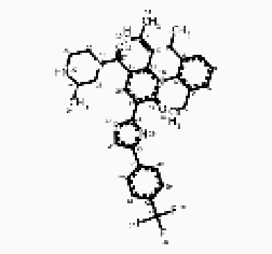 CCc1cccc(CC)c1-n1c(C=C(C)C)c(C(=O)N2CCN[C@H](C)C2)cc(-c2nc(-c3ccc(C(F)(F)F)cc3)cs2)c1=O